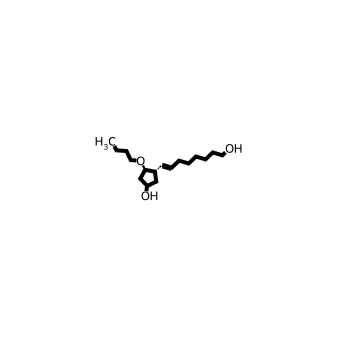 CCCCO[C@@H]1C[C](O)C[C@H]1/C=C/CCCCCCO